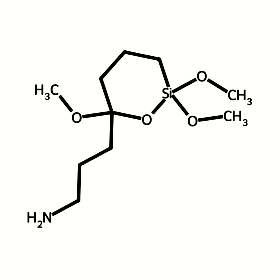 COC1(CCCN)CCC[Si](OC)(OC)O1